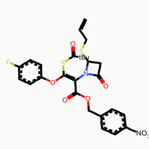 C=CCSC1CC(=O)N1C(C(=O)OCc1ccc([N+](=O)[O-])cc1)=C(Oc1ccc(F)cc1)SC(=O)C(C)(C)C